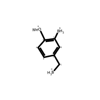 BCc1ccc(OC)c(B)c1